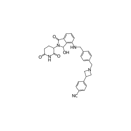 N#Cc1ccc(C2CN(Cc3ccc(CNc4cccc5c4C(O)N(C4CCC(=O)NC4=O)C5=O)cc3)C2)cc1